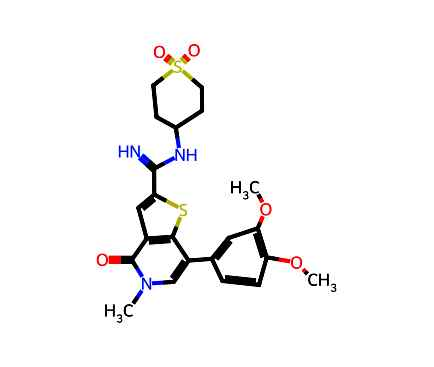 COc1ccc(-c2cn(C)c(=O)c3cc(C(=N)NC4CCS(=O)(=O)CC4)sc23)cc1OC